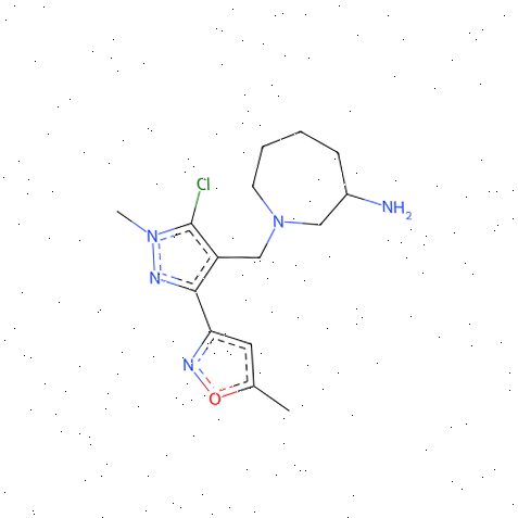 Cc1cc(-c2nn(C)c(Cl)c2CN2CCCCC(N)C2)no1